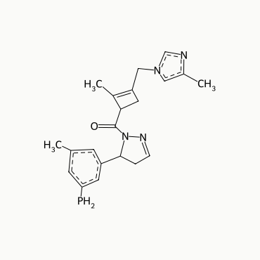 CC1=C(Cn2cnc(C)c2)CC1C(=O)N1N=CCC1c1cc(C)cc(P)c1